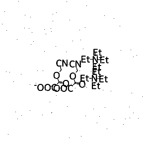 CC[N+](CC)(CC)CC.CC[N+](CC)(CC)CC.N#CCOC(=O)C(=O)[O-].N#CCOC(=O)C(=O)[O-]